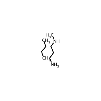 CCCC.CNCCCN